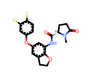 CN1C(=O)CC[C@H]1C(=O)Nc1cc(Oc2ccc(F)c(F)c2)cc2c1OCC2